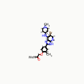 CNC(=O)COc1ccc(-c2nc3c(NC4CCN(C)CC4)c(Br)cnc3[nH]2)cc1C